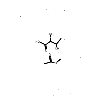 CC(O)C(N)C(=O)O.COC(C)=O